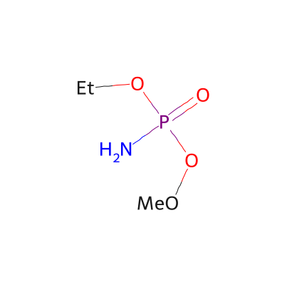 CCOP(N)(=O)OOC